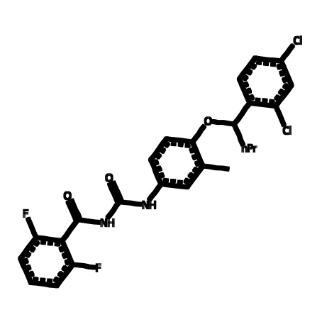 CCCC(Oc1ccc(NC(=O)NC(=O)c2c(F)cccc2F)cc1C)c1ccc(Cl)cc1Cl